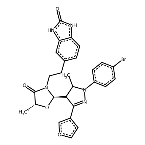 CC1C([C@H]2O[C@H](C)C(=O)N2CCc2ccc3[nH]c(=O)[nH]c3c2)C(c2ccoc2)=NN1c1ccc(Br)cc1